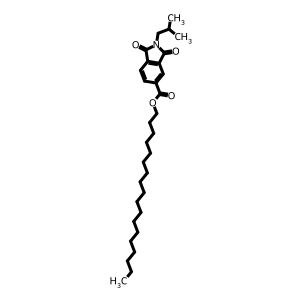 CCCCCCCCCCCCCCCCCCOC(=O)c1ccc2c(c1)C(=O)N(CC(C)C)C2=O